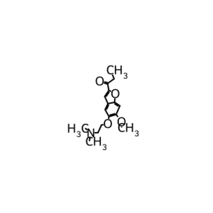 CCC(=O)c1cc2cc(OCCN(C)C)c(OC)cc2o1